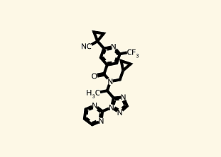 CC(c1ncnn1-c1ncccn1)N(CC1CC1)C(=O)c1cc(C(F)(F)F)nc(C2(C#N)CC2)c1